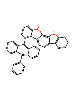 C1=Cc2c(oc3c2ccc2c3oc3cccc(-c4c5ccccc5c(-c5ccccc5)c5ccccc45)c32)CC1